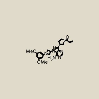 C=CC(=O)N1CC[C@H](c2nn(C3CN(c4cc(OC)cc(OC)c4)C3)c3c(N)ncnc23)C1